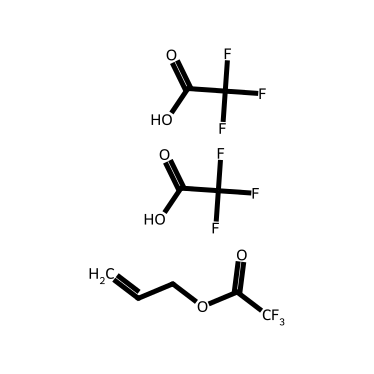 C=CCOC(=O)C(F)(F)F.O=C(O)C(F)(F)F.O=C(O)C(F)(F)F